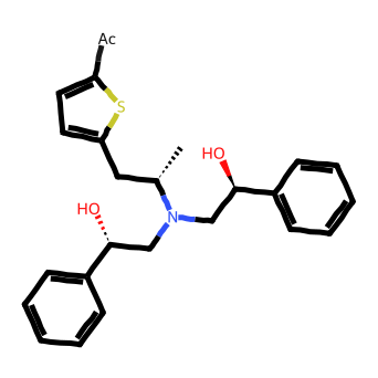 CC(=O)c1ccc(C[C@H](C)N(C[C@@H](O)c2ccccc2)C[C@@H](O)c2ccccc2)s1